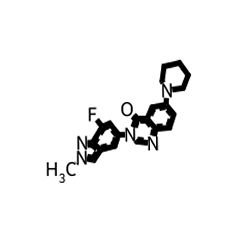 Cn1cc2cc(-n3cnc4ccc(N5CCCCC5)cc4c3=O)cc(F)c2n1